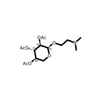 CC(=O)O[C@@H]1[C@@H](OC(C)=O)[C@@H](OCCN(C)C)OC[C@H]1OC(C)=O